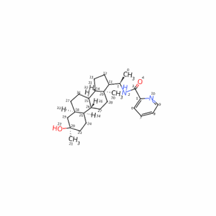 C[C@@H](NC(=O)c1ccccn1)C1CC[C@H]2[C@@H]3CC[C@@H]4C[C@](C)(O)CC[C@@H]4[C@H]3CC[C@]12C